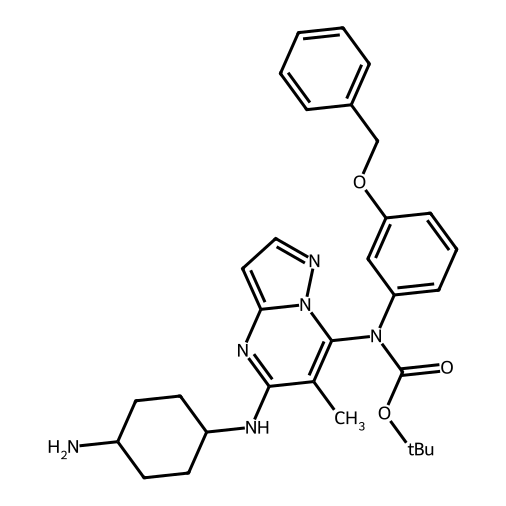 Cc1c(NC2CCC(N)CC2)nc2ccnn2c1N(C(=O)OC(C)(C)C)c1cccc(OCc2ccccc2)c1